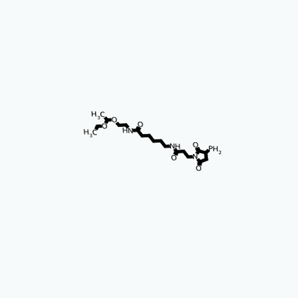 CCOC(C)OCCNC(=O)CCCCCNC(=O)CCN1C(=O)CC(P)C1=O